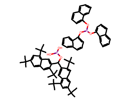 CC(C)(C)c1cc(C(C)(C)C)c2cc(C(OP(O)O)c3cc4c(C(C)(C)C)cc(C(C)(C)C)cc4cc3C(C)(C)C)c(C(C)(C)C)cc2c1.c1ccc2c(OP(Oc3cccc4ccccc34)Oc3cccc4ccccc34)cccc2c1